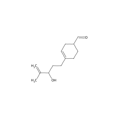 C=C(C)C(O)CCC1=CCC(C=O)CC1